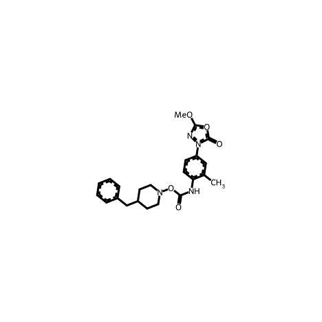 COc1nn(-c2ccc(NC(=O)ON3CCC(Cc4ccccc4)CC3)c(C)c2)c(=O)o1